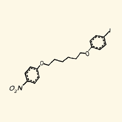 O=[N+]([O-])c1ccc(OCCCCCCOc2ccc(I)cc2)cc1